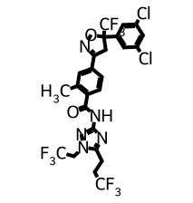 Cc1cc(C2=NOC(c3cc(Cl)cc(Cl)c3)(C(F)(F)F)C2)ccc1C(=O)Nc1nc(CCC(F)(F)F)n(CC(F)(F)F)n1